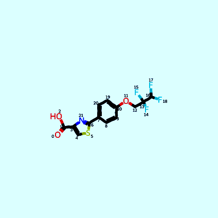 O=C(O)c1csc(-c2ccc(OCC(F)(F)C(F)F)cc2)n1